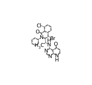 C[C@H](Nc1ncnc2[nH]ccc(=O)c12)c1c(Br)c2cccc(Cl)c2c(=O)n1-c1ccccc1